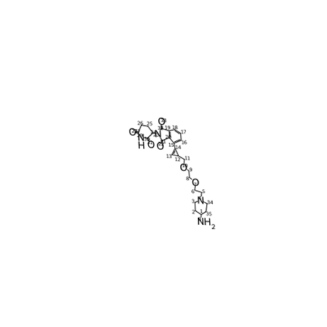 NC1CCN(CCOCCOCC2C=C2c2cccc3c2C(=O)N(C2CCC(=O)NC2=O)C3=O)CC1